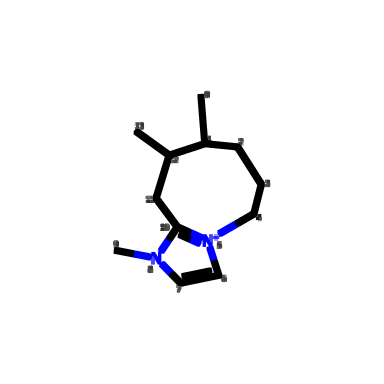 CC1CCC[n+]2ccn(C)c2CC1C